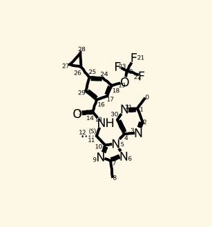 Cc1cnc(-n2nc(C)nc2[C@H](C)NC(=O)c2cc(OC(F)(F)F)cc(C3CC3)c2)cn1